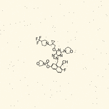 C#Cc1c(F)ccc2cc(OC(=O)N3CCOCC3)cc(Cn3cnc4c(OCC5(CN6CCC(C(F)(F)F)CC6)CC5)nc(N5CCCOCC5)nc43)c12